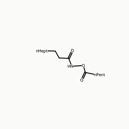 CCCCCCCCCC(=O)NOC(=O)CCCCC